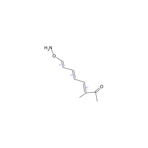 CC(=O)/C(C)=C/C=C/C=C/ON